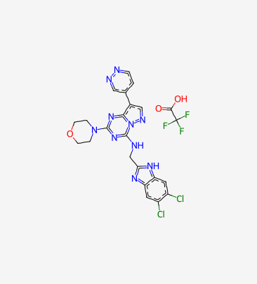 Clc1cc2nc(CNc3nc(N4CCOCC4)nc4c(-c5ccnnc5)cnn34)[nH]c2cc1Cl.O=C(O)C(F)(F)F